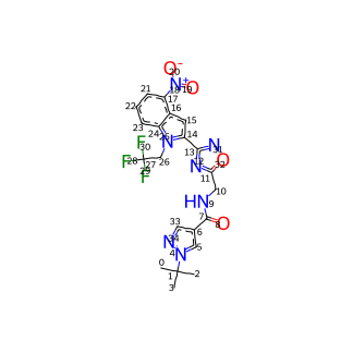 CC(C)(C)n1cc(C(=O)NCc2nc(-c3cc4c([N+](=O)[O-])cccc4n3CC(F)(F)F)no2)cn1